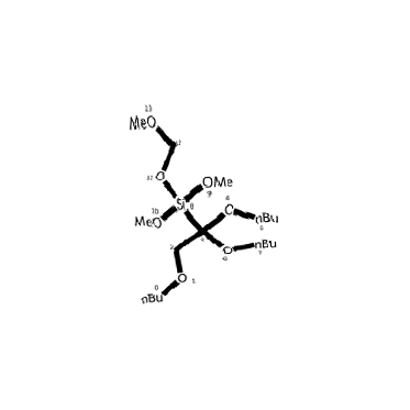 CCCCOCC(OCCCC)(OCCCC)[Si](OC)(OC)OCOC